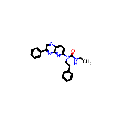 CCNC(=O)N(CCc1ccccc1)c1ccc2ncc(-c3ccccc3)nc2n1